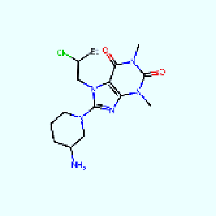 CCC(Cl)Cn1c(N2CCCC(N)C2)nc2c1c(=O)n(C)c(=O)n2C